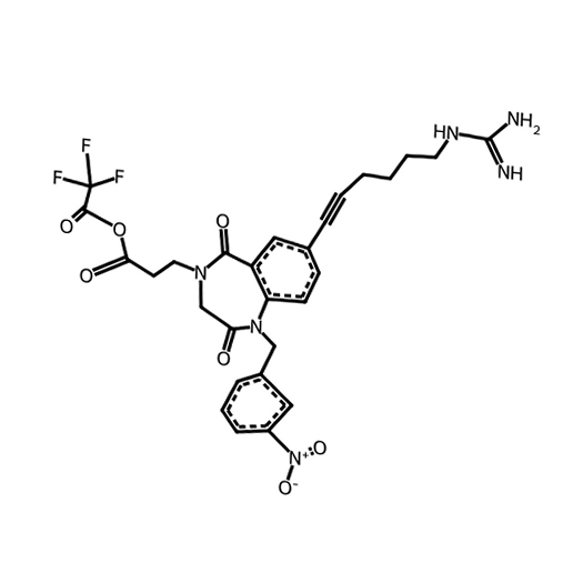 N=C(N)NCCCCC#Cc1ccc2c(c1)C(=O)N(CCC(=O)OC(=O)C(F)(F)F)CC(=O)N2Cc1cccc([N+](=O)[O-])c1